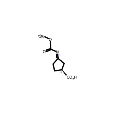 CC(C)(C)OC(=O)/N=C1\CC[C@H](C(=O)O)C1